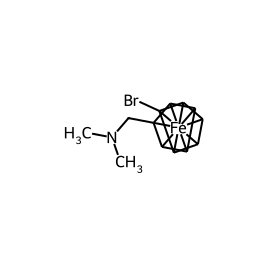 CN(C)C[C]12[CH]3[CH]4[CH]5[CH]1[Fe]45321678[CH]2[CH]1[CH]6[C]7(Br)[CH]28